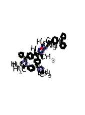 C#C/C=C\C(=C/C)N(c1ccccc1)c1ccc(C2C(c3ccc(N(C(/C=C\C(C)C)=C/C)c4ccccc4)cc3)=NC(=C/C=C/C)/C(=C\C(C)=C\CNC(C)C3=CCC=C(N(C4=CCCC=C4)c4ccccc4)C=C3)N2C)cc1